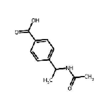 CC(=O)NC(C)c1ccc(C(=O)O)cc1